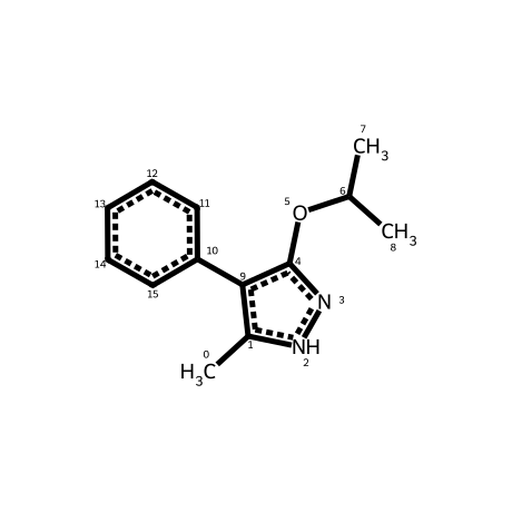 Cc1[nH]nc(OC(C)C)c1-c1ccccc1